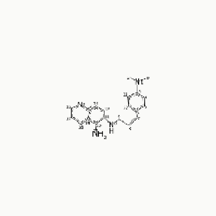 CN(C)c1ccc(/C=C\CNc2ccc3ncccc3c2N)cc1